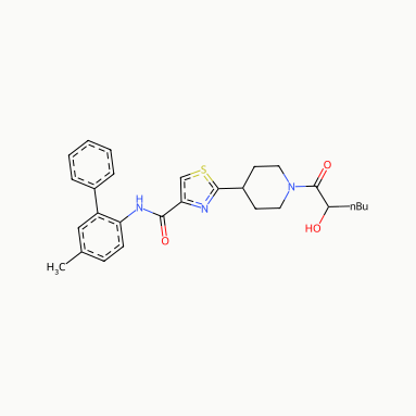 CCCCC(O)C(=O)N1CCC(c2nc(C(=O)Nc3ccc(C)cc3-c3ccccc3)cs2)CC1